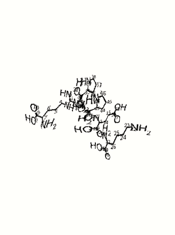 N=C(N)NCCCC(N)C(=O)O.NC(CCC(=O)O)C(=O)O.NCCCCC(N)C(=O)O.O=C(O)[C@@H]1CCCN1.O=C(O)[C@@H]1CCCN1